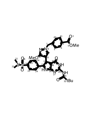 COC(=O)c1ccc(Cn2cc(-c3c(-c4ccc(S(=O)(=O)N(C)C)cc4)[nH]c4nc(NC(=O)C(C)(C)C)[nH]c(=O)c34)c(OC)n2)cc1